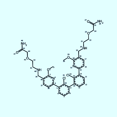 COc1nc(-c2cccc(-c3cccc(-c4ccc(CNCCOCC(N)=O)c(OC)n4)c3Cl)c2Cl)ccc1CNCCOCC(N)=O